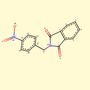 O=C1c2ccccc2C(=O)N1Cc1ccc([N+](=O)[O-])cc1